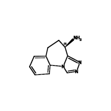 N[C@@H]1CCc2ccccc2-n2cnnc21